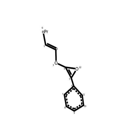 CCCC=COC1=C(c2ccccc2)O1